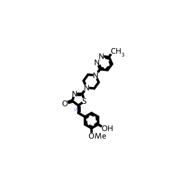 COc1cc(/C=C2\SC(N3CCN(c4ccc(C)nn4)CC3)=NC2=O)ccc1O